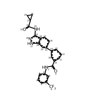 O=C(Nc1cccc(C(F)(F)F)c1)c1cccc(-c2ccc3c(NC(=O)C4CC4)n[nH]c3c2)c1